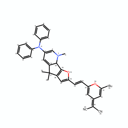 CN1C=C(N(c2ccccc2)c2ccccc2)C=C2C1c1oc(/C=C/C3=CC(=C(C#N)C#N)C=C(C(C)(C)C)O3)cc1C2(C)C